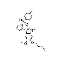 COc1cc2c(-c3cccn3S(=O)(=O)c3ccc(C)cc3)cn(C)c2cc1OCCCI